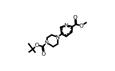 COC(=O)c1ccc(N2CCN(C(=O)OC(C)(C)C)CC2)cn1